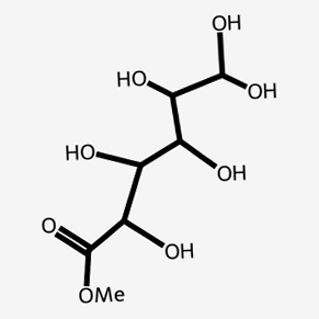 COC(=O)C(O)C(O)C(O)C(O)C(O)O